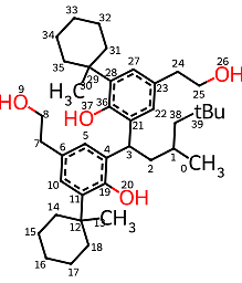 CC(CC(c1cc(CCO)cc(C2(C)CCCCC2)c1O)c1cc(CCO)cc(C2(C)CCCCC2)c1O)CC(C)(C)C